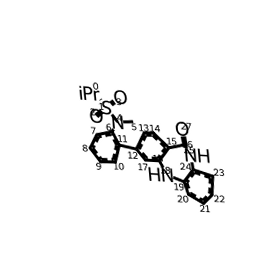 CC(C)S(=O)(=O)N(C)c1ccccc1-c1ccc2c(c1)Nc1ccccc1NC2=O